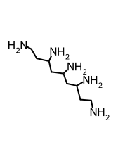 NCCC(N)CC(N)CC(N)CCN